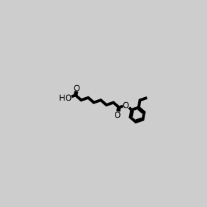 CCc1ccccc1OC(=O)CCCCCCC(=O)O